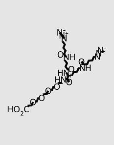 [N-]=[N+]=NCCCCC(=O)NCCCC[C@H](NC(=O)CCCNC(=O)CCCCN=[N+]=[N-])C(=O)NCCOCCOCCOCCOCCC(=O)O